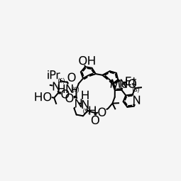 CCn1c(-c2cccnc2[C@H](C)OC)c2c3cc(ccc31)-c1cc(O)cc(c1)C[C@H](NC(=O)[C@H](C(C)C)N(C)C(=O)C(C)O)C(=O)N1CCC[C@H](N1)C(=O)OCC(C)(C)C2